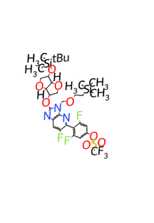 CC(C)(C)[Si](C)(C)O[C@@H]1CO[C@H]2[C@@H]1OC[C@H]2Oc1nc2cc(F)c(-c3c(F)cc(OS(=O)(=O)C(F)(F)F)cc3F)nc2n1COCC[Si](C)(C)C